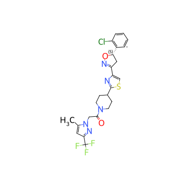 Cc1cc(C(F)(F)F)nn1CC(=O)N1CCC(c2nc(C3=NO[C@H](c4[c]cccc4Cl)C3)cs2)CC1